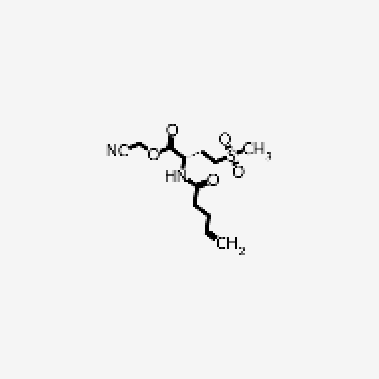 C=CCCC(=O)N[C@@H](CCS(C)(=O)=O)C(=O)OCC#N